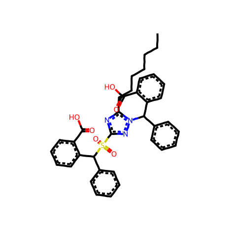 CCCCCCCc1nc(S(=O)(=O)C(c2ccccc2)c2ccccc2C(=O)O)nn1C(c1ccccc1)c1ccccc1C(=O)O